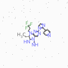 CC[C@@H]1C(=N)N(C=N)c2cnc(-n3ccnc3-c3ccncc3)nc2N1CCC(F)(F)F